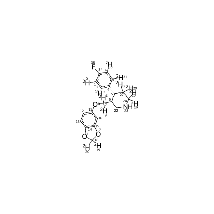 [2H]c1c([2H])c([C@H]2C(C([2H])([2H])Oc3ccc4c(c3)OC([2H])([2H])O4)CNC([2H])([2H])C2([2H])[2H])c([2H])c([2H])c1F